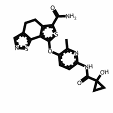 Cc1nc(NC(=O)C2(O)CC2)ccc1Oc1sc(C(N)=O)c2c1-c1sncc1CC2